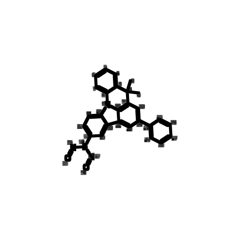 CC1(C)c2ccccc2-n2c3ccc(B(N=O)N=O)cc3c3cc(-c4ccccc4)cc1c32